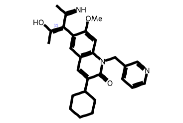 COc1cc2c(cc1/C(C(C)=N)=C(\C)O)cc(C1CCCCC1)c(=O)n2Cc1cccnc1